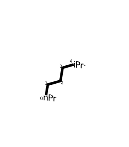 [CH2]CCCCC[C](C)C